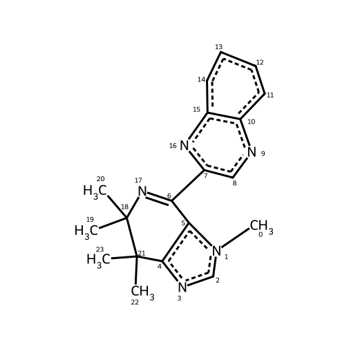 Cn1cnc2c1C(c1cnc3ccccc3n1)=NC(C)(C)C2(C)C